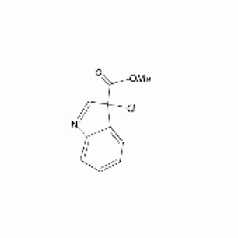 COC(=O)C1(Cl)C=Nc2ccccc21